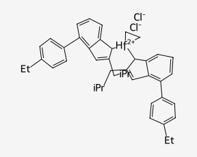 CCc1ccc(-c2cccc3c2C=C(CC(C)C)[CH]3[Hf+2]2([CH]3C(CC(C)C)=Cc4c(-c5ccc(CC)cc5)cccc43)[CH2][CH2]2)cc1.[Cl-].[Cl-]